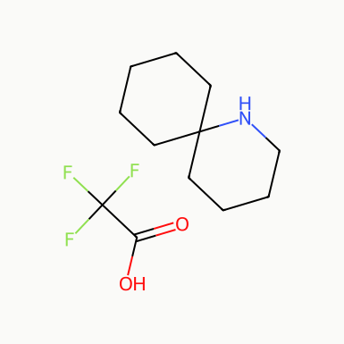 C1CCC2(CC1)CCCCN2.O=C(O)C(F)(F)F